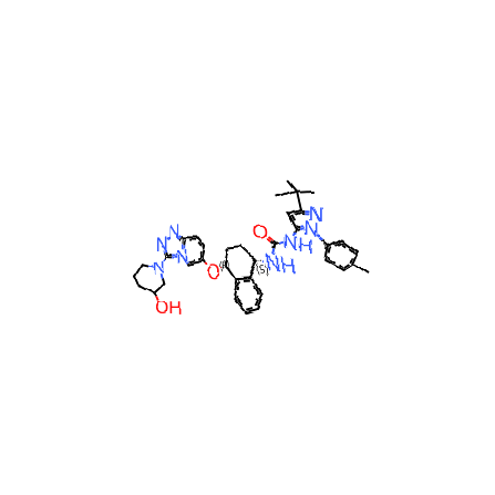 Cc1ccc(-n2nc(C(C)(C)C)cc2NC(=O)N[C@H]2CC[C@@H](Oc3ccc4nnc(N5CCCC(O)C5)n4c3)c3ccccc32)cc1